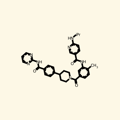 Cc1ccc(C(=O)N2CCC(c3ccc(C(=O)Nc4ncccn4)cc3)CC2)cc1NC(=O)c1ccc(NC(C)C)nc1